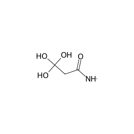 [NH]C(=O)CC(O)(O)O